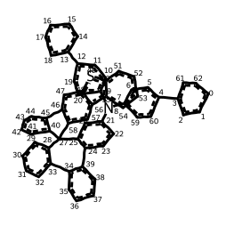 c1ccc(-c2ccc(N(c3ccc(-c4ccccc4)cc3)c3ccc4c(c3)C3(c5ccccc5-c5ccccc5-4)c4ccccc4-c4cc5sc6ccccc6c5cc43)cc2)cc1